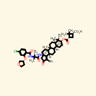 CC(C)C1=C2[C@H]3CC[C@@H]4[C@@]5(C)CC[C@H](OC(=O)[C@H]6C[C@@H](C(=O)O)C6(C)C)C(C)(C)[C@@H]5CC[C@@]4(C)[C@]3(C)CC[C@@]2(NC(=O)C(C)(C)NC(=O)c2ccc(Cl)cc2O[C@@H]2CCOC2)CC1=O